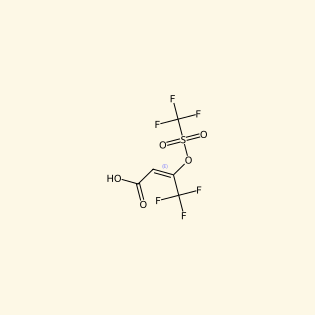 O=C(O)/C=C(/OS(=O)(=O)C(F)(F)F)C(F)(F)F